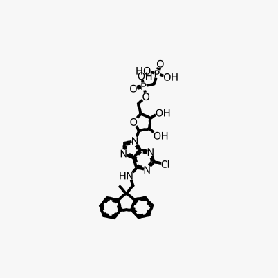 CC1(CNc2nc(Cl)nc3c2ncn3C2OC(COP(=O)(O)CP(=O)(O)O)C(O)C2O)c2ccccc2-c2ccccc21